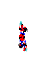 CC(C)[C@H](NC(=O)OC(C)(C)C(F)(F)F)C(=O)N1C(c2nc3cc(-c4cc5ccc4CCc4ccc(c(-c6ccc7[nH]c([C@@H]8C[C@@H]9CCCC[C@@H]9N8C(=O)[C@@H](NC(=O)OC(C)(C)C(F)(F)F)C(C)C)nc7c6)c4)CC5)ccc3[nH]2)C[C@@H]2CCCC[C@@H]21